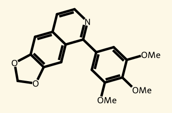 COc1cc(-c2nccc3cc4c(cc23)OCO4)cc(OC)c1OC